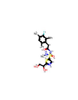 CC(C)c1cc(C#N)c(F)c(C(C)C)c1CC(=O)N=S(=O)(NC#N)c1cnc(C(O)CO)s1